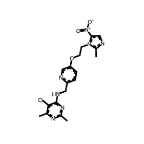 Cc1nc(C)c(Cl)c(NCc2ccc(OCCn3c([N+](=O)[O-])cnc3C)cn2)n1